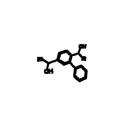 CCC(O)c1ccc(C(O)CC)c(-c2ccccc2)c1